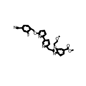 COCCn1c(Cc2ccc(-c3cccc(OCc4ccc(C#N)cc4F)n3)cn2)nc2ccc(C(=O)OC)cc21